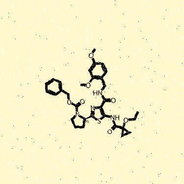 CCOC1(C(=O)Nc2sc([C@H]3CCCN3C(=O)OCc3ccccc3)nc2C(=O)NCc2ccc(OC)cc2OC)CC1